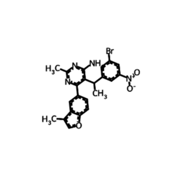 Cc1nc(N)c(C(C)c2cc(Br)cc([N+](=O)[O-])c2)c(-c2ccc3occ(C)c3c2)n1